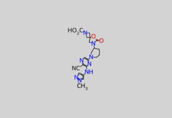 Cn1cc(Nc2nc(N3CCCC(N4CC5(CN(C(=O)O)C5)OC4=O)C3)cnc2C#N)cn1